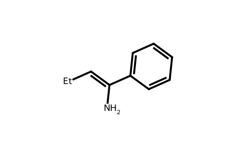 [CH2]CC=C(N)c1ccccc1